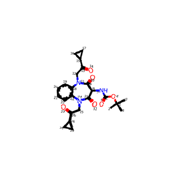 CC(C)(C)OC(=O)NC1C(=O)N(CC(=O)C2CC2)c2ccccc2N(CC(=O)C2CC2)C1=O